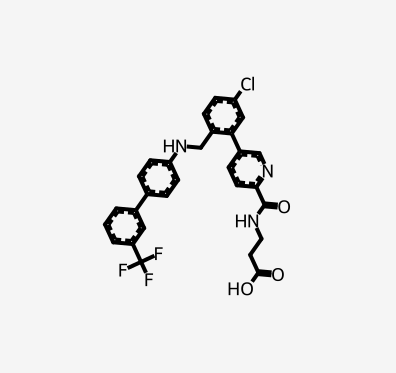 O=C(O)CCNC(=O)c1ccc(-c2cc(Cl)ccc2CNc2ccc(-c3cccc(C(F)(F)F)c3)cc2)cn1